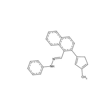 CC1=CCC(c2ccc3ccccc3c2C=NNc2ccccc2)=C1